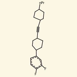 CCCC1CCC(C#CC2CCC(c3ccc(F)c(F)c3)CC2)CC1